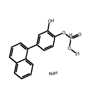 CCO[PH](=O)Oc1ccc(-c2cccc3ccccc23)cc1O.[NaH]